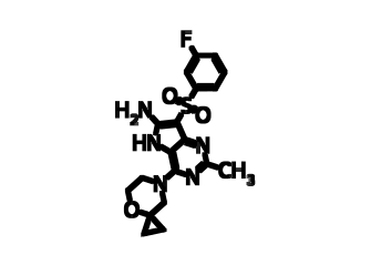 Cc1nc(N2CCOC3(CC3)C2)c2[nH]c(N)c(S(=O)(=O)c3cccc(F)c3)c2n1